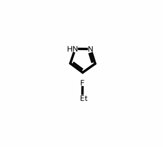 CCF.c1cn[nH]c1